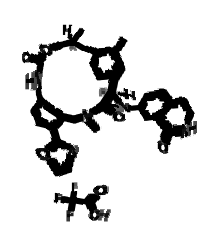 Cc1cc2ccc1[C@@H](C)COC(=O)Nc1ccc(-c3ncco3)c(c1)CN(C)C(=O)[C@@H]2Nc1ccc2cc[nH]c(=O)c2c1.O=C(O)C(F)(F)F